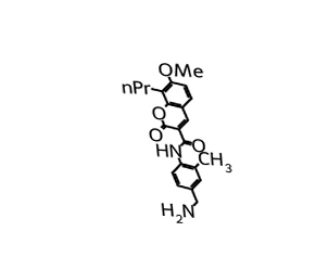 CCCc1c(OC)ccc2cc(C(=O)Nc3ccc(CN)cc3C)c(=O)oc12